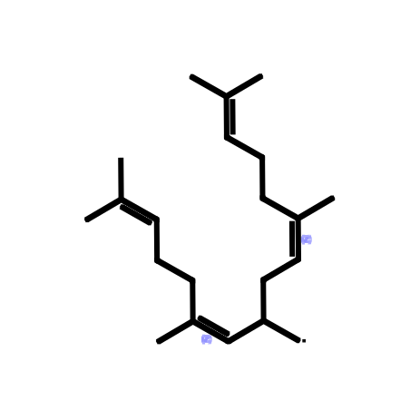 [CH2]C(/C=C(/C)CCC=C(C)C)C/C=C(/C)CCC=C(C)C